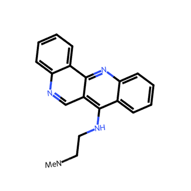 CNCCNc1c2ccccc2nc2c1cnc1ccccc12